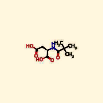 CC(C)(C)C(=O)N[C@H](CC(=O)O)C(=O)O